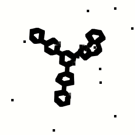 c1ccc(-c2ccc(-c3cc(-c4ccc(-c5ccccn5)cc4)nc(-c4cc5ccc6ccccc6n5n4)c3)nc2)cc1